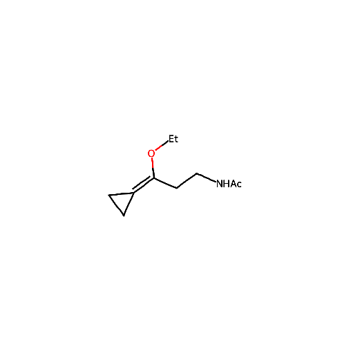 CCOC(CCNC(C)=O)=C1CC1